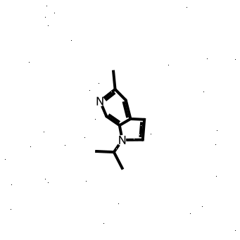 Cc1cc2ccn(C(C)C)c2cn1